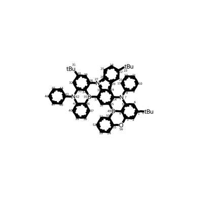 CC(C)(C)c1cc2c3c(c1)N(c1ccccc1)c1c(cc4c5c1c1cc(C(C)(C)C)ccc1n5-c1cc(C(C)(C)C)cc5c1B4c1ccccc1N5c1ccccc1)B3c1ccccc1O2